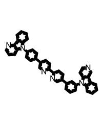 c1cc(-c2ccc(-c3ccc(-c4ccc(-n5c6ccccc6c6ncccc65)cc4)cn3)nc2)cc(-n2c3ccccc3c3cnccc32)c1